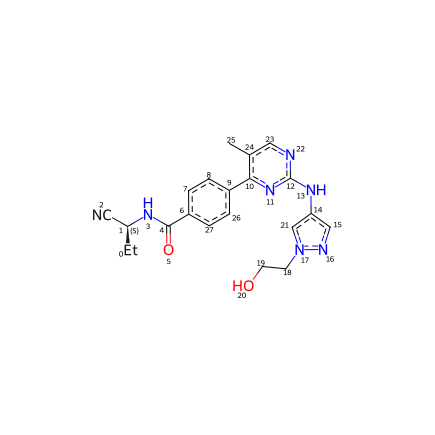 CC[C@@H](C#N)NC(=O)c1ccc(-c2nc(Nc3cnn(CCO)c3)ncc2C)cc1